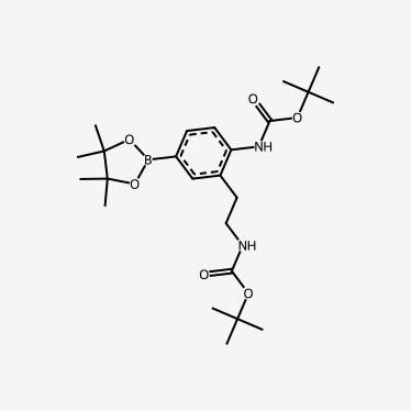 CC(C)(C)OC(=O)NCCc1cc(B2OC(C)(C)C(C)(C)O2)ccc1NC(=O)OC(C)(C)C